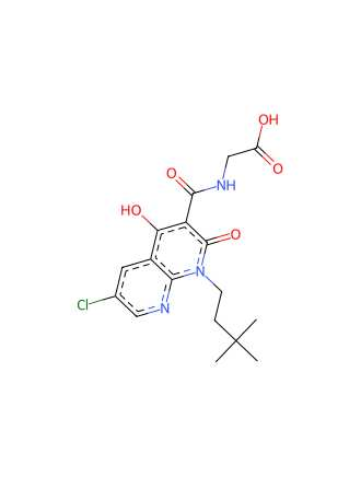 CC(C)(C)CCn1c(=O)c(C(=O)NCC(=O)O)c(O)c2cc(Cl)cnc21